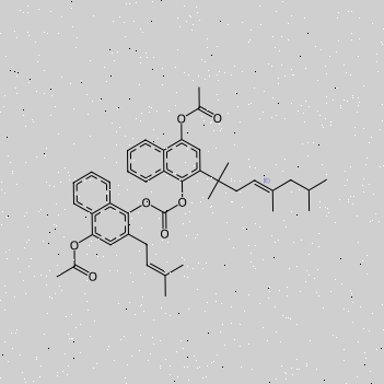 CC(=O)Oc1cc(CC=C(C)C)c(OC(=O)Oc2c(C(C)(C)C/C=C(\C)CC(C)C)cc(OC(C)=O)c3ccccc23)c2ccccc12